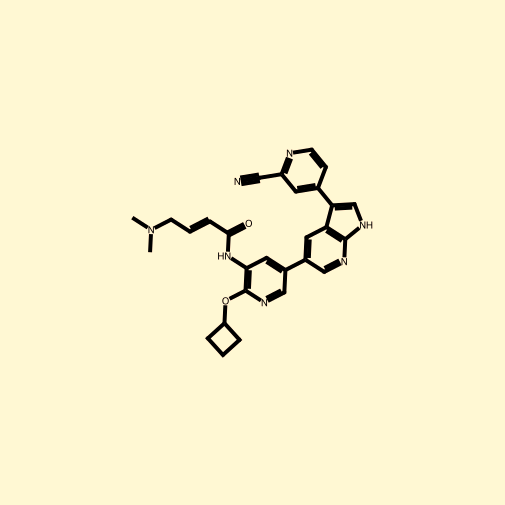 CN(C)C/C=C/C(=O)Nc1cc(-c2cnc3[nH]cc(-c4ccnc(C#N)c4)c3c2)cnc1OC1CCC1